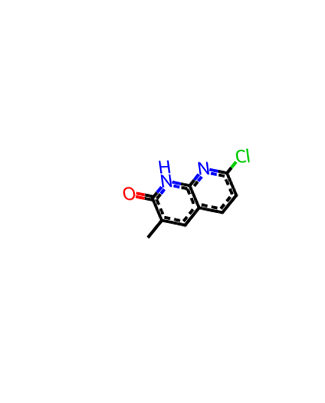 Cc1cc2ccc(Cl)nc2[nH]c1=O